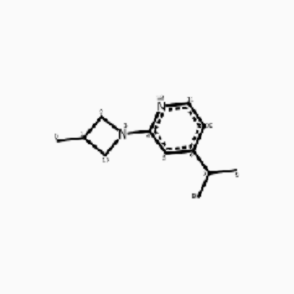 CC1CN(c2cc(C(C)C)ccn2)C1